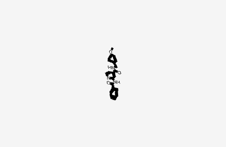 COc1ccc(CNC(=O)c2ccnc(NC(=O)c3ccccc3)c2)cc1